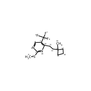 CSc1ncc(C(F)(F)F)c(CCC2(C)CCC2)n1